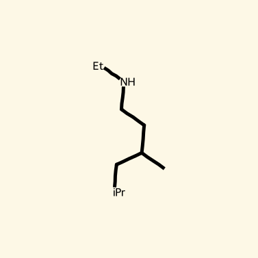 CCNCCC(C)CC(C)C